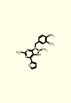 Cc1cc(CN2c3nc(N)nc(-c4ccco4)c3NN2C)ccc1N